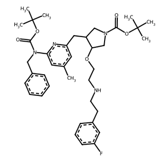 Cc1cc(CC2CN(C(=O)OC(C)(C)C)CC2OCCNCCc2cccc(F)c2)nc(N(Cc2ccccc2)C(=O)OC(C)(C)C)c1